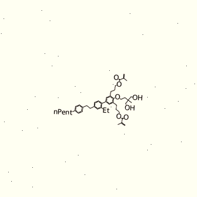 C=C(C)C(=O)OCCCc1cc(-c2ccc(CCc3ccc(CCCCC)cc3)cc2CC)cc(CCCOC(=O)C(=C)C)c1OCCC(C)(CO)CO